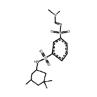 CC1CC(NS(=O)(=O)c2cccc(S(=O)(=O)/N=C/N(C)C)c2)CC(C)(C)C1